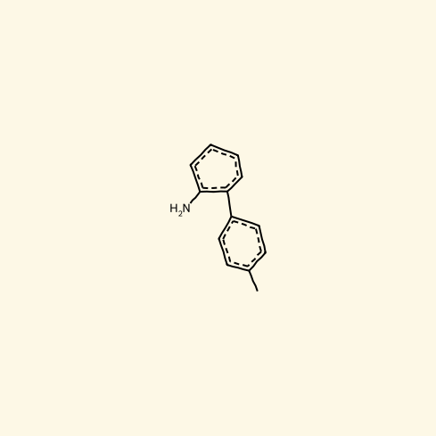 Cc1ccc(-c2ccccc2N)cc1